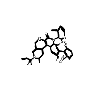 C=CC(=O)N1CC2COc3c(c4cc(F)c(-c5c(O)cccc5F)c(F)c4n(-c4c(C)ccnc4C(C)C)c3=O)C2CC1C